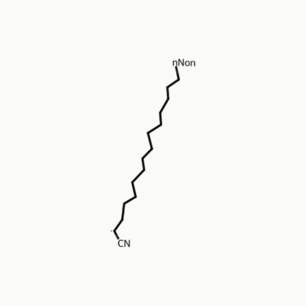 CCCCCCCCCCCCCCCCCCCCCC[CH]C#N